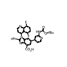 CCCc1nc2c(C(=O)O)cc(-c3ccnc(NC(=O)OC(C)(C)C)c3)cc2n1-c1ccnc2c(F)ccc(F)c12